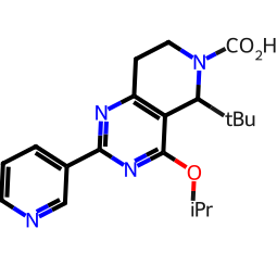 CC(C)Oc1nc(-c2cccnc2)nc2c1C(C(C)(C)C)N(C(=O)O)CC2